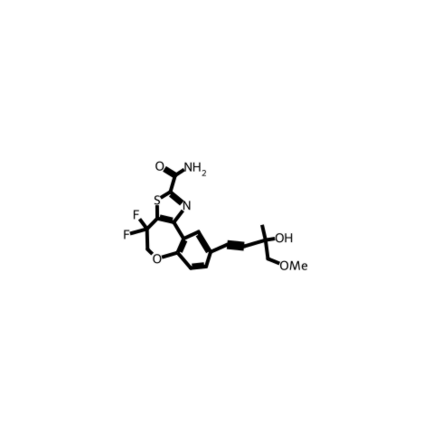 COCC(C)(O)C#Cc1ccc2c(c1)-c1nc(C(N)=O)sc1C(F)(F)CO2